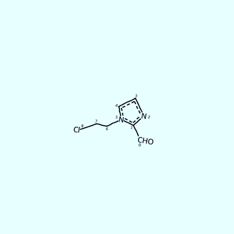 O=Cc1nccn1CCCl